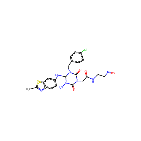 Cc1nc2ccc(NC3N(N)C(=O)N(CC(=O)NCCN=O)C(=O)N3Cc3ccc(Cl)cc3)cc2s1